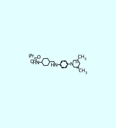 CC(C)S(=O)(=O)NC1CCC(CNc2ccc(N3C[C@H](C)C[C@H](C)C3)cc2)CC1